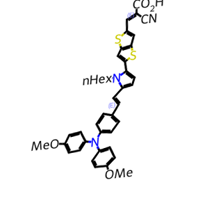 CCCCCCn1c(/C=C/c2ccc(N(c3ccc(OC)cc3)c3ccc(OC)cc3)cc2)ccc1-c1cc2sc(/C=C(\C#N)C(=O)O)cc2s1